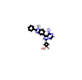 CCn1c(-c2ccccc2)nc2cc(-c3nc([C@H]4C[C@@](C)(O)C4)n4ccnc(N)c34)ccc21